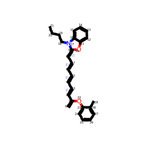 C=C(/C=C/C=C/C=C/C=C1\Oc2ccccc2N1CCCC)Oc1ccccc1C